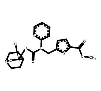 COC(=O)c1ccc(CN(C(=O)O[C@H]2CN3CCC2CC3)c2ccccn2)s1